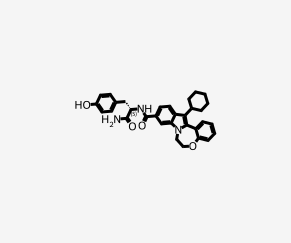 NC(=O)[C@H](Cc1ccc(O)cc1)NC(=O)c1ccc2c(C3CCCCC3)c3n(c2c1)CCOc1ccccc1-3